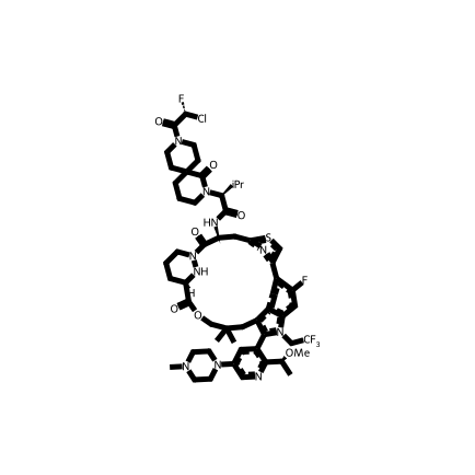 CO[C@@H](C)c1ncc(N2CCN(C)CC2)cc1-c1c2c3cc(c(F)cc3n1CC(F)(F)F)-c1csc(n1)C[C@H](NC(=O)[C@H](C(C)C)N1CCCC3(CCN(C(=O)[C@H](F)Cl)CC3)C1=O)C(=O)N1CCC[C@H](N1)C(=O)OCC(C)(C)C2